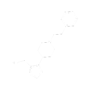 OCc1sccc1C1CCN(CCc2ccccc2)CC1